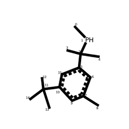 CPC(C)(C)c1cc(C)cc(C(C)(C)C)c1